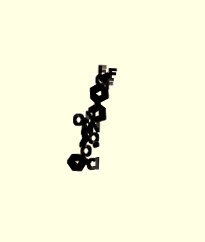 COC(COc1ccccc1Cl)Cn1nc2ccc(-c3ccc(OC(F)(F)F)cc3)cn2c1=O